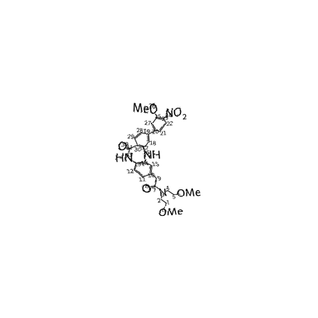 COCCN(CCOC)C(=O)Cc1ccc2c(c1)Nc1cc(-c3ccc([N+](=O)[O-])c(OC)c3)ccc1C(=O)N2